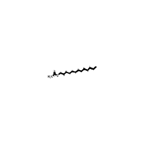 CCCCCCCCCCCCCOC(N)=O